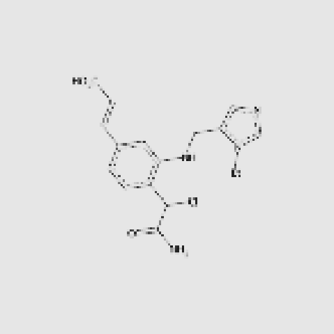 CCn1cncc1CNc1cc(/C=C/C(=O)O)ccc1C(Cl)C(N)=O